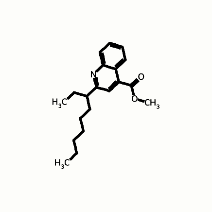 CCCCCCC(CC)c1cc(C(=O)OC)c2ccccc2n1